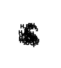 BC(B)(B)c1ccc(C(B)(B)NC(B)(B)C2(F)CC(B)(B)N(C(=O)c3ccc(F)c(Cl)c3)C(B)(B)C2(B)B)nc1